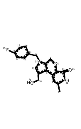 Cc1cc2c(ncc3c2c(CO)cn3Cc2ccc(F)cc2)c(=O)[nH]1